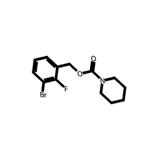 O=C(OCc1cccc(Br)c1F)N1CCCCC1